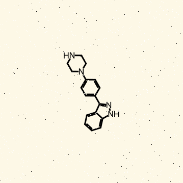 c1ccc2c(-c3ccc(N4CCNCC4)cc3)n[nH]c2c1